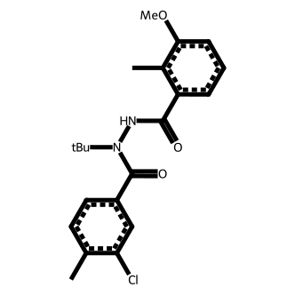 COc1cccc(C(=O)NN(C(=O)c2ccc(C)c(Cl)c2)C(C)(C)C)c1C